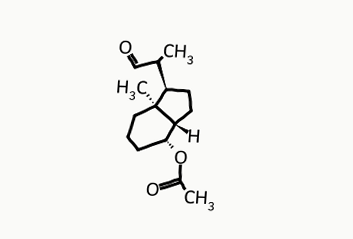 CC(=O)O[C@@H]1CCC[C@@]2(C)[C@@H](C(C)C=O)CC[C@H]12